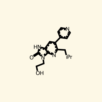 CC(C)Cc1nc2c(cc1-c1ccncc1)[nH]c(=O)n2CCO